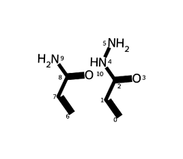 C=CC(=O)NN.C=CC(N)=O